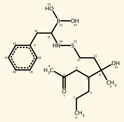 CCCC(CC(C)=O)C(C)(O)CCSNC(Cc1ccccc1)B(O)O